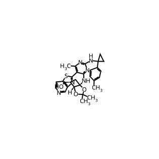 Cc1ccc(C2(Nc3nc(C)c(-c4nc5cnccc5s4)c(N[C@]45C[C@H](CO)[C@H]4OC(C)(C)O5)n3)CC2)cc1